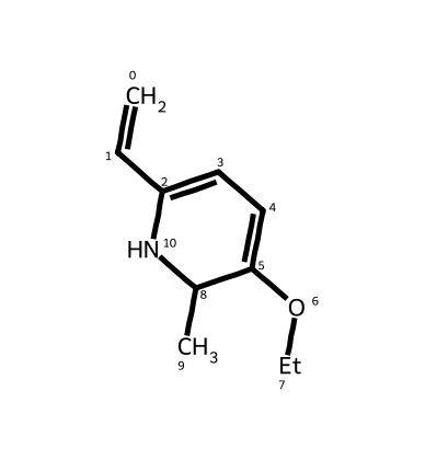 C=CC1=CC=C(OCC)C(C)N1